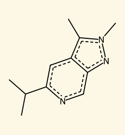 Cc1c2cc(C(C)C)ncc2nn1C